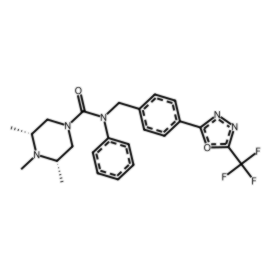 C[C@@H]1CN(C(=O)N(Cc2ccc(-c3nnc(C(F)(F)F)o3)cc2)c2ccccc2)C[C@H](C)N1C